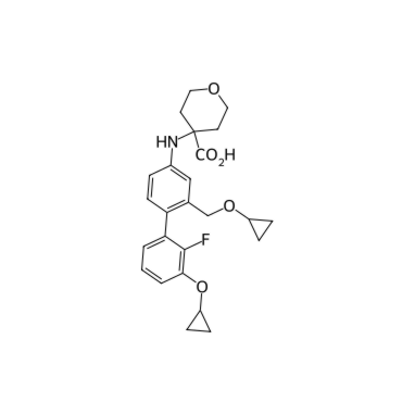 O=C(O)C1(Nc2ccc(-c3cccc(OC4CC4)c3F)c(COC3CC3)c2)CCOCC1